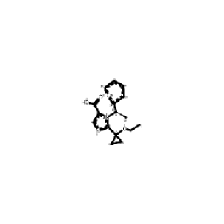 CCOC1(c2ncc(C(=O)O)n2[C@H](C)c2ccccc2)CC1